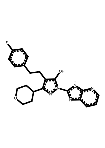 Oc1c(CCc2ccc(F)cc2)c(C2CCOCC2)nn1-c1nc2cccnc2[nH]1